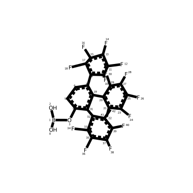 OB(O)Oc1ccc(-c2c(F)c(F)c(F)c(F)c2F)c(-c2c(F)c(F)c(F)c(F)c2F)c1-c1c(F)c(F)c(F)c(F)c1F